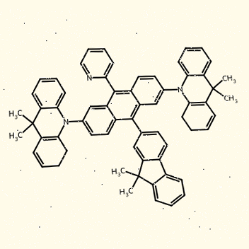 CC1(C)C2=C(CCC=C2)N(c2ccc3c(-c4ccccn4)c4cc(N5C6=C(C=CCC6)C(C)(C)c6ccccc65)ccc4c(-c4ccc5c(c4)C(C)(C)c4ccccc4-5)c3c2)c2ccccc21